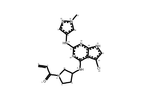 C=CC(=O)N1CCC(Nc2nc(Nc3cnn(C)c3)nc3[nH]cc(Cl)c23)C1